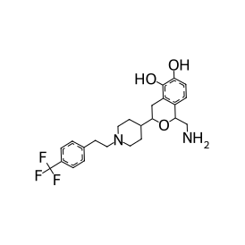 NCC1OC(C2CCN(CCc3ccc(C(F)(F)F)cc3)CC2)Cc2c1ccc(O)c2O